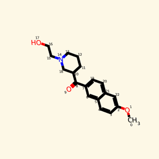 COc1ccc2cc(C(=O)C3CCCN(CCO)C3)ccc2c1